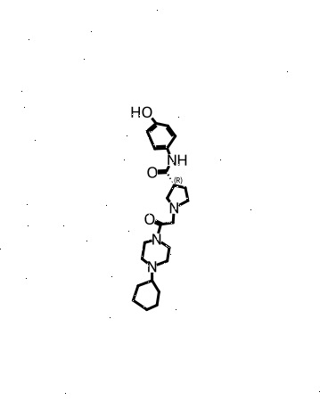 O=C(Nc1ccc(O)cc1)[C@@H]1CCN(CC(=O)N2CCN(C3CCCCC3)CC2)C1